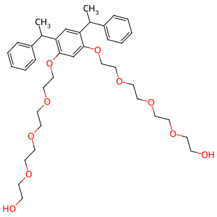 CC(c1ccccc1)c1cc(C(C)c2ccccc2)c(OCCOCCOCCOCCO)cc1OCCOCCOCCOCCO